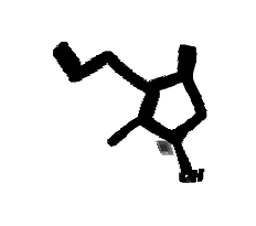 C=CCC1=C(C)[C@H](O)CC1=C